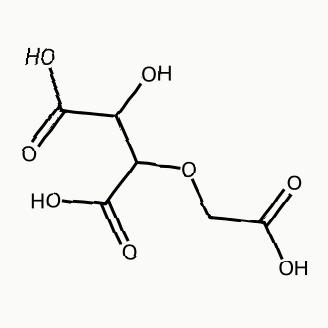 O=C(O)COC(C(=O)O)C(O)C(=O)O